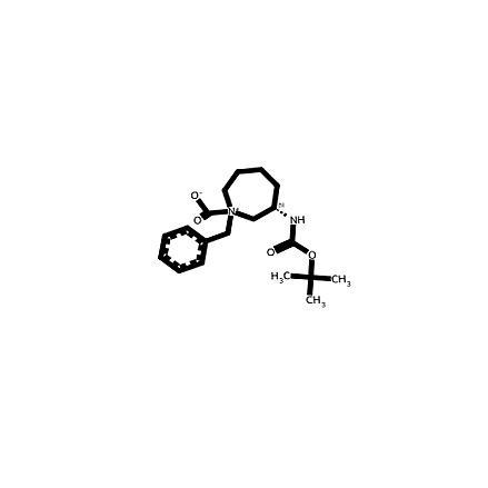 CC(C)(C)OC(=O)N[C@H]1CCCC[N+](Cc2ccccc2)(C(=O)[O-])C1